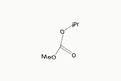 [CH2]OC(=O)OC(C)C